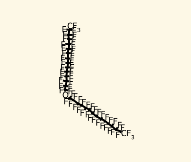 FC(F)(F)C(F)(F)C(F)(F)C(F)(F)C(F)(F)C(F)(F)C(F)(F)C(F)(F)C(F)(F)C(F)(F)C(F)(F)C(F)(F)C(F)(F)C(F)(F)C(F)(F)OC(F)(F)C(F)(F)C(F)(F)C(F)(F)C(F)(F)C(F)(F)C(F)(F)C(F)(F)C(F)(F)C(F)(F)C(F)(F)C(F)(F)C(F)(F)C(F)(F)C(F)(F)F